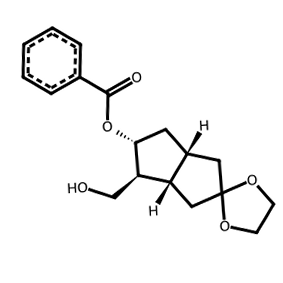 O=C(O[C@@H]1C[C@@H]2CC3(C[C@@H]2[C@H]1CO)OCCO3)c1ccccc1